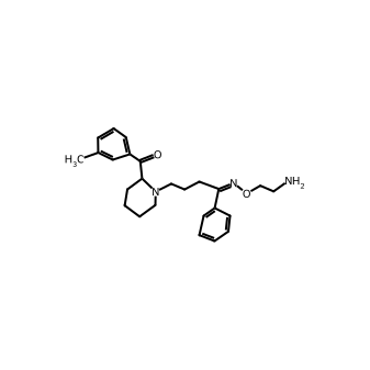 Cc1cccc(C(=O)C2CCCCN2CCC/C(=N/OCCN)c2ccccc2)c1